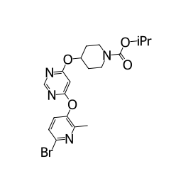 Cc1nc(Br)ccc1Oc1cc(OC2CCN(C(=O)OC(C)C)CC2)ncn1